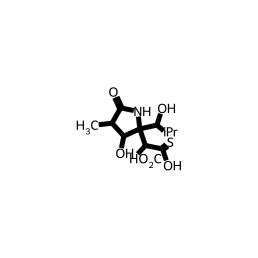 CC(C)C(O)C1(C(C(=O)O)C(O)=S)NC(=O)C(C)C1O